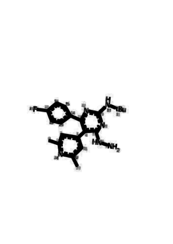 Cc1cc(-c2c(NN)nc(NC(C)(C)C)nc2-c2ccc(F)cc2)cc(C)n1